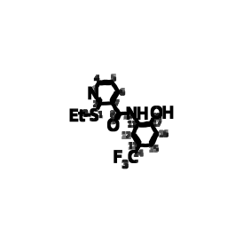 CCSc1ncccc1C(=O)Nc1cc(C(F)(F)F)ccc1O